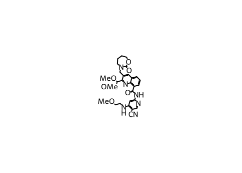 COCCNc1cc(NC(=O)c2cccc3cc(CN4CCCCOC4=O)c(C(OC)OC)nc23)ncc1C#N